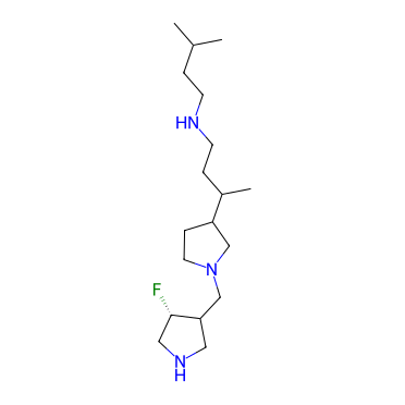 CC(C)CCNCCC(C)C1CCN(CC2CNC[C@@H]2F)C1